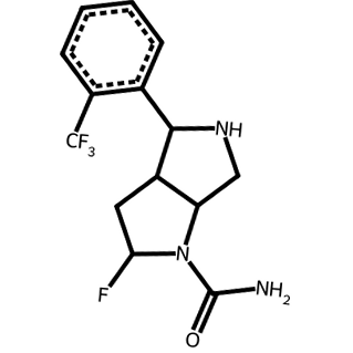 NC(=O)N1C(F)CC2C(c3ccccc3C(F)(F)F)NCC21